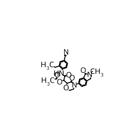 CCc1cc(C#N)ccc1NC(=O)C(OC(C)=O)C1OCCN(c2ccc3c(c2)C(=O)N(C)C3)C1=O